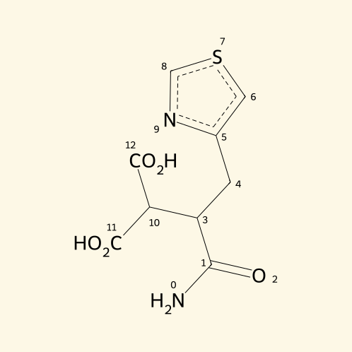 NC(=O)C(Cc1cscn1)C(C(=O)O)C(=O)O